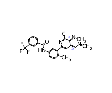 C=N/C=C1/C=C(c2cc(NC(=O)c3cccc(C(F)(F)F)c3)ccc2C)N=C(Cl)/C1=N/C